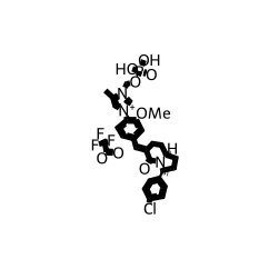 COc1cc(C=C2CC[C@H]3CC[C@@H](c4ccc(Cl)cc4)N3C2=O)ccc1-[n+]1cc(C)n(COP(=O)(O)O)c1.O=C([O-])C(F)(F)F